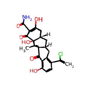 C=C(Cl)c1ccc(O)c2c1C[C@H]1C[C@H]3CC(O)=C(C(N)=O)C(=O)[C@@]3(O)C(C)=C1C2=O